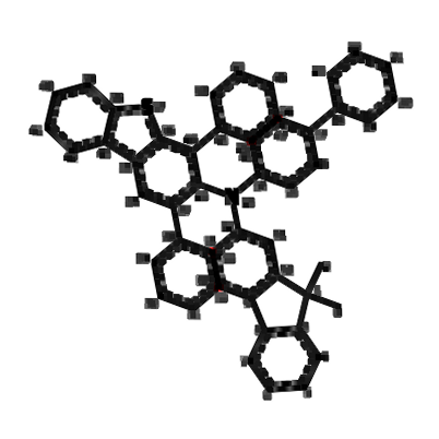 CC1(C)c2ccccc2-c2ccc(N(c3ccc(-c4ccccc4)cc3)c3c(-c4ccccc4)cc4c(sc5ccccc54)c3-c3ccccc3)cc21